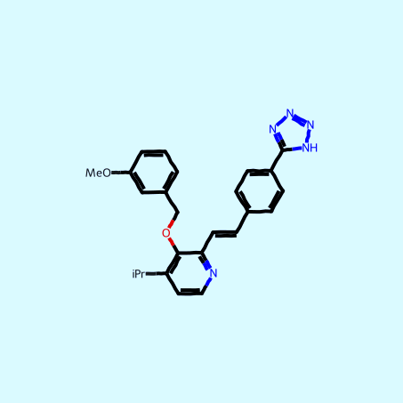 COc1cccc(COc2c(C(C)C)ccnc2C=Cc2ccc(-c3nnn[nH]3)cc2)c1